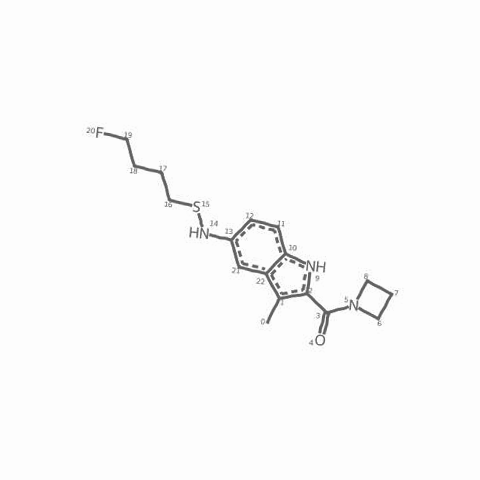 Cc1c(C(=O)N2CCC2)[nH]c2ccc(NSCCCCF)cc12